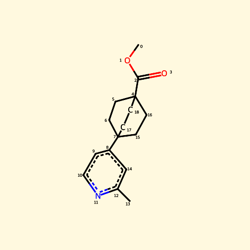 COC(=O)C12CCC(c3ccnc(C)c3)(CC1)CC2